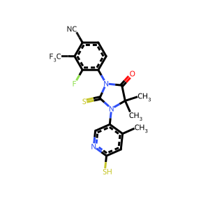 Cc1cc(S)ncc1N1C(=S)N(c2ccc(C#N)c(C(F)(F)F)c2F)C(=O)C1(C)C